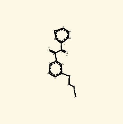 CCCCc1cccc(C(=O)C(=O)c2ccccc2)c1